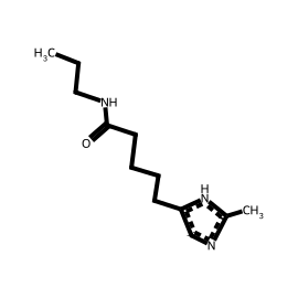 CCCNC(=O)CCCCc1[c]nc(C)[nH]1